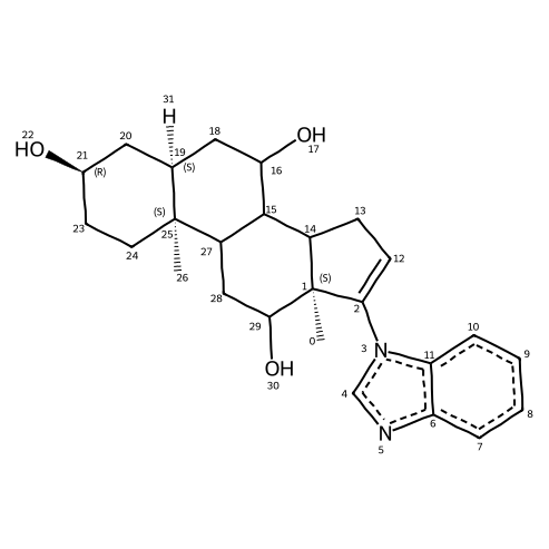 C[C@@]12C(n3cnc4ccccc43)=CCC1C1C(O)C[C@@H]3C[C@H](O)CC[C@]3(C)C1CC2O